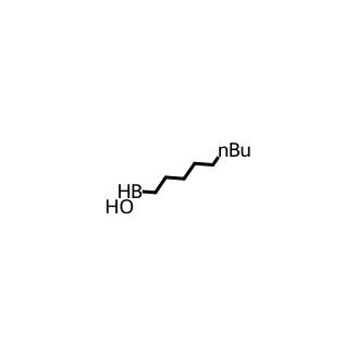 CCCCCCCCCBO